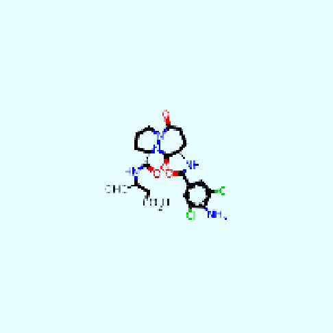 Nc1c(Cl)cc(C(=O)N[C@H]2CCC(=O)N3CCC[C@@H](C(=O)N[C@H](C=O)CC(=O)O)N3C2=O)cc1Cl